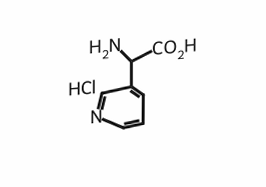 Cl.NC(C(=O)O)c1cccnc1